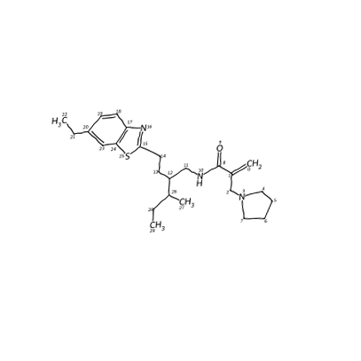 C=C(CN1CCCC1)C(=O)NCC(CCc1nc2ccc(CC)cc2s1)C(C)CC